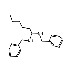 CCCCCC(NCc1ccccc1)NCc1ccccc1